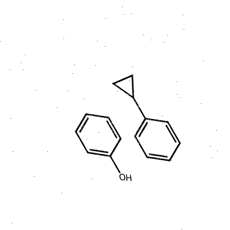 Oc1ccccc1.c1ccc(C2CC2)cc1